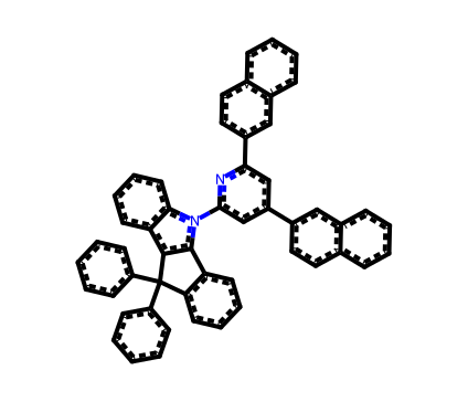 c1ccc(C2(c3ccccc3)c3ccccc3-c3c2c2ccccc2n3-c2cc(-c3ccc4ccccc4c3)cc(-c3ccc4ccccc4c3)n2)cc1